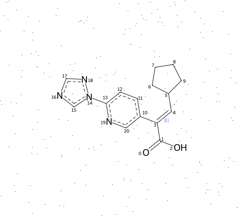 O=C(O)/C(=C/C1CCCC1)c1ccc(-n2cncn2)nc1